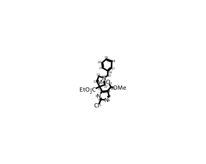 CCOC(=O)C1(c2nc(Cl)ncc2C(OC)OC)CCN(Cc2ccccc2)C1